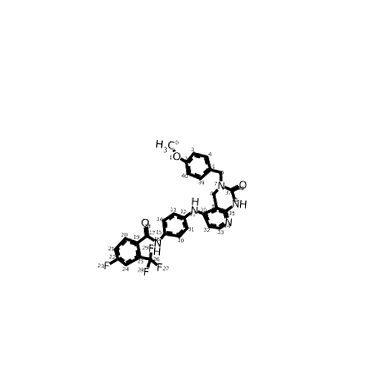 COc1ccc(CN2Cc3c(Nc4ccc(NC(=O)c5ccc(F)cc5C(F)(F)F)cc4)ccnc3NC2=O)cc1